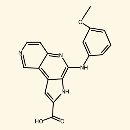 COc1cccc(Nc2nc3ccncc3c3cc(C(=O)O)[nH]c23)c1